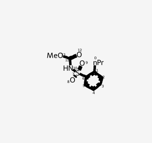 CCCc1ccccc1S(=O)(=O)NC(=O)OC